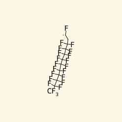 F[CH]CC(F)(F)C(F)(F)C(F)(F)C(F)(F)C(F)(F)C(F)(F)C(F)(F)C(F)(F)C(F)(F)C(F)(F)F